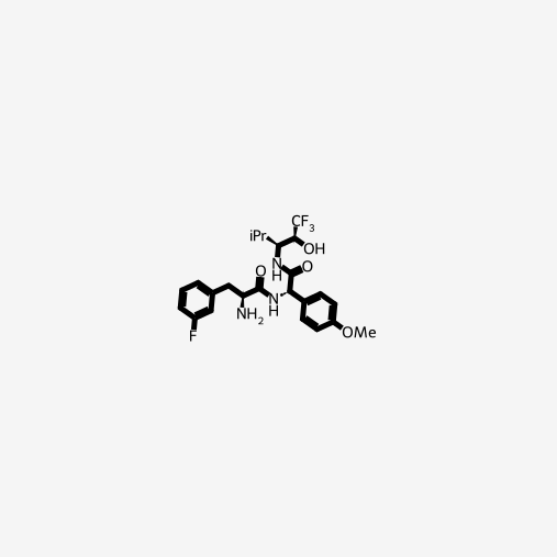 COc1ccc([C@H](NC(=O)[C@@H](N)Cc2cccc(F)c2)C(=O)N[C@@H](C(C)C)[C@H](O)C(F)(F)F)cc1